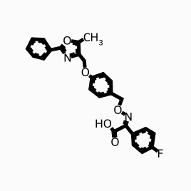 Cc1oc(-c2ccccc2)nc1COc1ccc(CON=C(C(=O)O)c2ccc(F)cc2)cc1